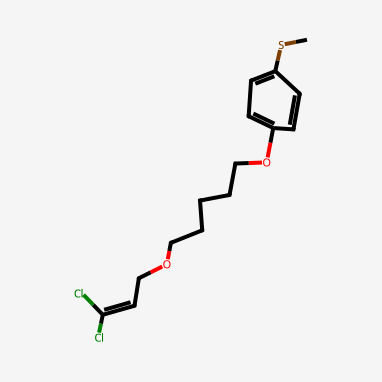 CSc1ccc(OCCCCCOCC=C(Cl)Cl)cc1